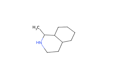 CC1NCCC2CCCCC21